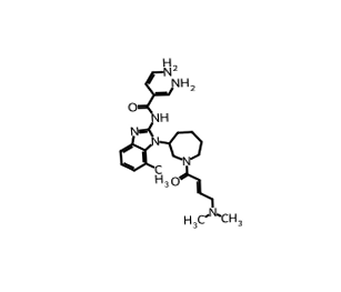 Cc1cccc2nc(NC(=O)C(/C=C\N)=C/N)n(C3CCCCN(C(=O)/C=C/CN(C)C)C3)c12